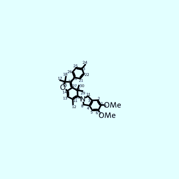 COc1cc2c(cc1OC)CN(C1=C(C)C=C3OC(C)(C)C(c4ccc(C)cc4)=C3C1(C)C)C2